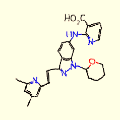 Cc1cc(C)nc(C=Cc2nn(C3CCCCO3)c3cc(Nc4ncccc4C(=O)O)ccc23)c1